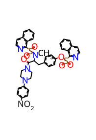 CN(C(Cc1ccc(OS(=O)(=O)c2nccc3ccccc23)cc1)C(=O)N1CCN(c2ccc([N+](=O)[O-])cc2)CC1)S(=O)(=O)c1nccc2ccccc12